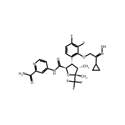 C[C@H]1[C@@H](c2ccc(F)c(F)c2OC/C(=N\O)C2CC2)[C@H](C(=O)Nc2ccnc(C(N)=O)c2)O[C@@]1(C)C(F)(F)F